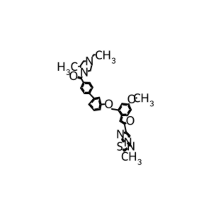 CCN1CCN(C(=O)c2ccc(-c3cccc(OCc4cc(OC)cc5oc(-c6cn7nc(C)sc7n6)cc45)c3)cc2)[C@@H](C)C1